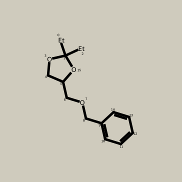 CCC1(CC)OCC(COCc2ccccc2)O1